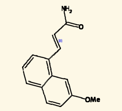 COc1ccc2cccc(/C=C/C(N)=O)c2c1